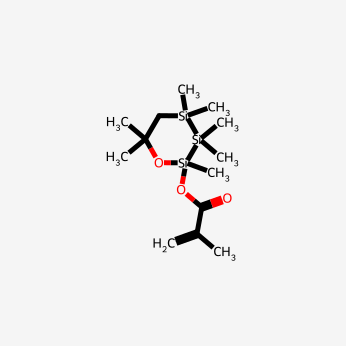 C=C(C)C(=O)O[Si]1(C)OC(C)(C)C[Si](C)(C)[Si]1(C)C